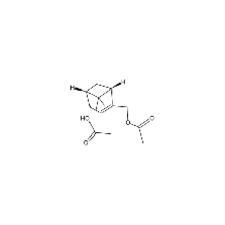 CC(=O)O.CC(=O)OCC1=CC[C@@H]2C[C@H]1C2(C)C